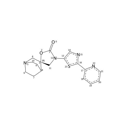 O=C1O[C@]2(CN3CCC2CC3)CN1c1cnc(-c2ccccn2)s1